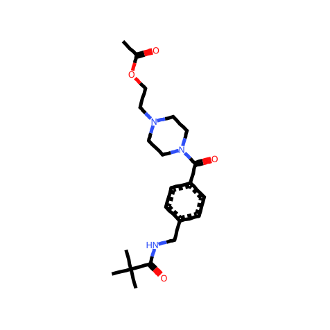 CC(=O)OCCN1CCN(C(=O)c2ccc(CNC(=O)C(C)(C)C)cc2)CC1